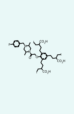 CC1CN(C(=O)COc2c(CCC(CI)C(=O)O)cc(CCC(CI)C(=O)O)cc2CCC(CI)C(=O)O)C(C)CN1Cc1ccc(F)cc1